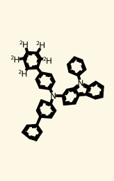 [2H]c1c([2H])c([2H])c(-c2ccc(N(c3ccc(-c4ccccc4)cc3)c3ccc4c5ccccc5n(-c5ccccc5)c4c3)cc2)c([2H])c1[2H]